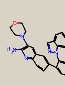 Nc1nc2ccc(-c3ccccc3-n3ncc4ccccc43)cc2cc1N1CCOCC1